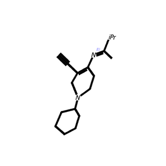 C#CC1=C(/N=C(\C)C(C)C)CCN(C2CCCCC2)C1